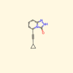 O=c1[nH]nc2cccc(C#CC3CC3)n12